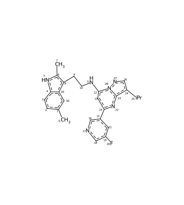 Cc1ccc2[nH]c(C)c(CCNc3cc(-c4cncc(F)c4)nc4c(C(C)C)cnn34)c2c1